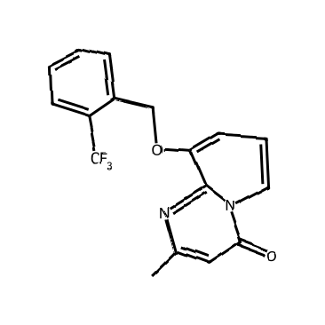 Cc1cc(=O)n2cccc(OCc3ccccc3C(F)(F)F)c2n1